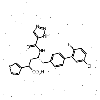 O=C(N[C@H](Cc1ccc(-c2cc(Cl)ccc2F)cc1)CC(C(=O)O)c1ccsc1)c1cnn[nH]1